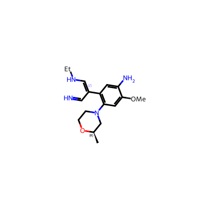 CCN/C=C(\C=N)c1cc(N)c(OC)cc1N1CCO[C@H](C)C1